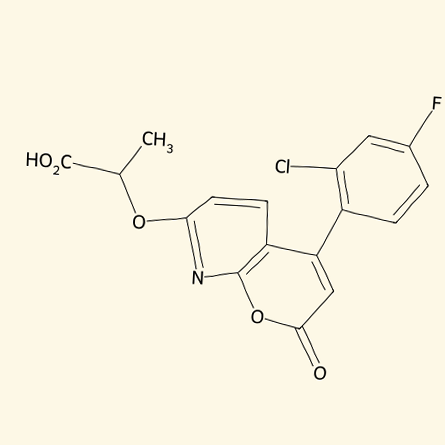 CC(Oc1ccc2c(-c3ccc(F)cc3Cl)cc(=O)oc2n1)C(=O)O